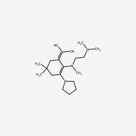 CN(C)CCN(C)C1=C(N2CCCC2)CC(C)(C)CC1=C(C#N)C#N